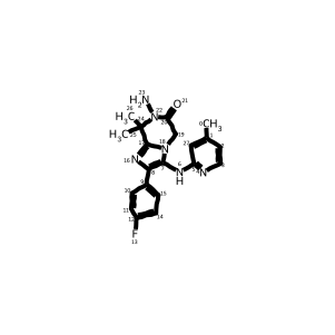 Cc1ccnc(Nc2c(-c3ccc(F)cc3)nc3n2CC(=O)N(N)C3(C)C)c1